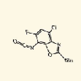 CC(C)(C)c1nc2c(Cl)cc(F)c(N=C=O)c2o1